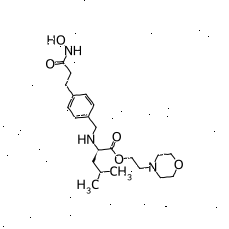 CC(C)C[C@@H](NCc1ccc(CCC(=O)NO)cc1)C(=O)OCCN1CCOCC1